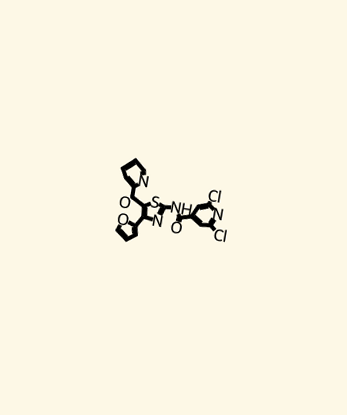 O=C(Nc1nc(-c2ccco2)c(C(=O)c2ccccn2)s1)c1cc(Cl)nc(Cl)c1